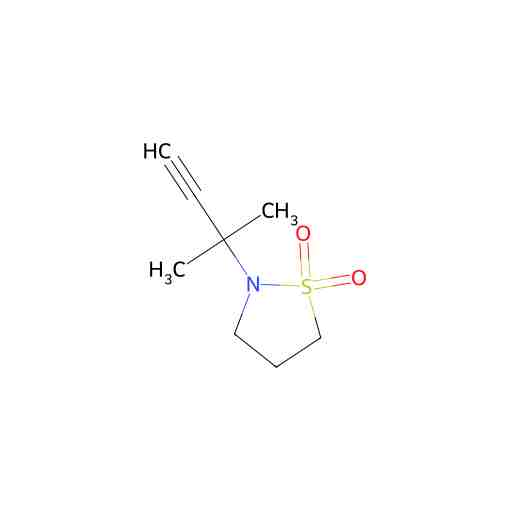 C#CC(C)(C)N1CCCS1(=O)=O